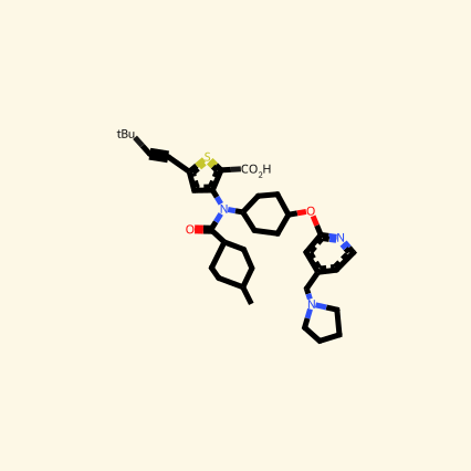 CC1CCC(C(=O)N(c2cc(C#CC(C)(C)C)sc2C(=O)O)C2CCC(Oc3cc(CN4CCCC4)ccn3)CC2)CC1